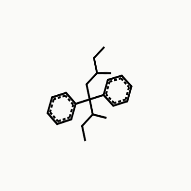 CCC(C)CC(c1ccccc1)(c1ccccc1)C(C)CC